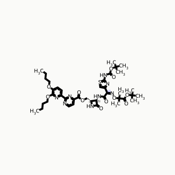 CCCCOc1ccc(-c2nccc(C(=O)OC[C@H]3NC(=O)[C@H]3NC(=O)/C(=N\OC(C)(C)C(=O)OC(C)(C)C)c3csc(NC(=O)OC(C)(C)C)n3)n2)nc1OCCCC